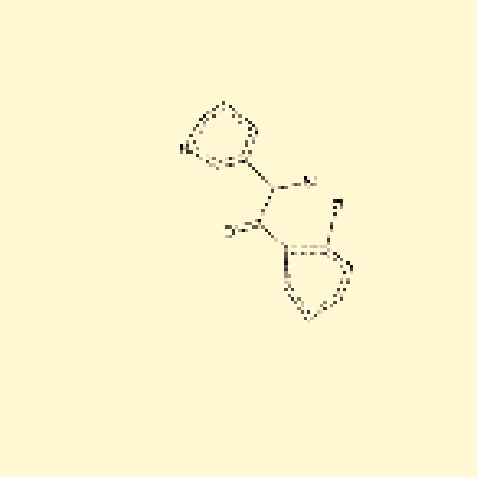 O=C(c1ccccc1Cl)C(Br)c1cccnc1